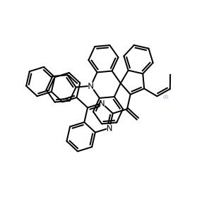 C=C(C1=C(/C=C\C)c2ccccc2C12c1ccccc1N(c1ccccc1)c1ccccc12)c1nc(-c2ccc3ccccc3c2)c2ccccc2n1